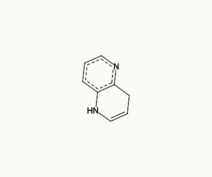 C1=CNc2cccnc2C1